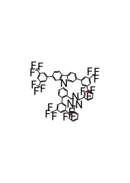 FC(F)(F)c1cc(-c2ccc3c4ccc(-c5cc(C(F)(F)F)cc(C(F)(F)F)c5)cc4n(-c4ccc(-c5cc(C(F)(F)F)cc(C(F)(F)F)c5)c(-c5nc(-c6ccccc6)nc(-c6ccccc6)n5)c4)c3c2)cc(C(F)(F)F)c1